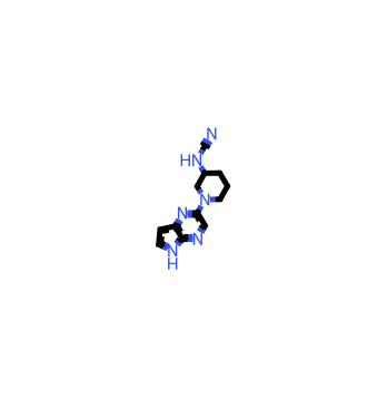 N#CNC1CCCN(c2cnc3[nH]ccc3n2)C1